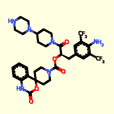 Nc1c(C(F)(F)F)cc(C[C@@H](OC(=O)N2CCC3(CC2)OC(=O)Nc2ccccc23)C(=O)N2CCC(N3CCNCC3)CC2)cc1C(F)(F)F